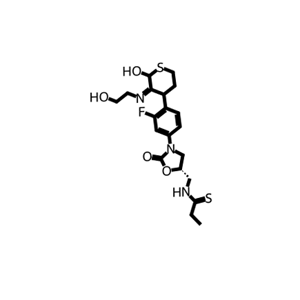 CCC(=S)NC[C@H]1CN(c2ccc(C3CCSC(O)C3=NCCO)c(F)c2)C(=O)O1